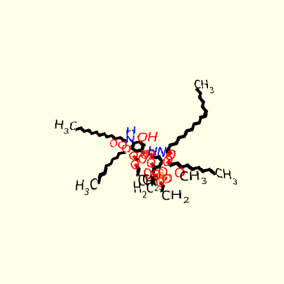 C=CCOC(=O)O[C@@H]1C(OOC2OC(COC)[C@@H](OP(=O)(OCC=C)OCC=C)C(OCCC(CCCCCCC)OC)[C@H]2NC(=O)CCCCCCCCC/C=C\CCCCCC)CC(O)[C@H](NC(=O)CC(=O)CCCCCCCCCCC)C1OCCCCCCCCCC